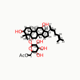 CC(=O)OC[C@H]1O[C@@H](O[C@H]2C[C@]3(C)[C@H](C[C@@H](O)[C@@H]4[C@@H](/C(C)=C\CC=C(C)C)CC[C@]43C)[C@@]3(C)CC[C@H](O)C(C)(C)[C@H]23)[C@H](O)[C@@H](O)[C@@H]1O